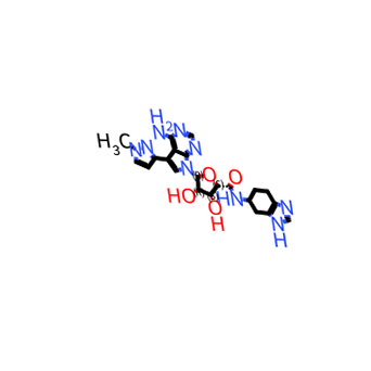 Cn1ccc(-c2cn([C@@H]3O[C@H](C(=O)NC4CCc5nc[nH]c5C4)[C@@H](O)[C@H]3O)c3ncnc(N)c23)n1